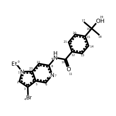 CCn1cc(Br)c2cnc(NC(=O)c3ccc(C(C)(C)O)cc3)cc21